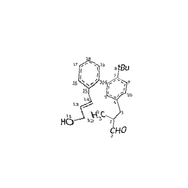 CC(C=O)Cc1ccc(C(C)(C)C)cc1.OCC=Cc1ccccc1